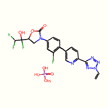 C=Cn1nnc(-c2ccc(-c3ccc(N4CC(C(O)(F)C(F)F)OC4=O)cc3F)cn2)n1.O=P(O)(O)O